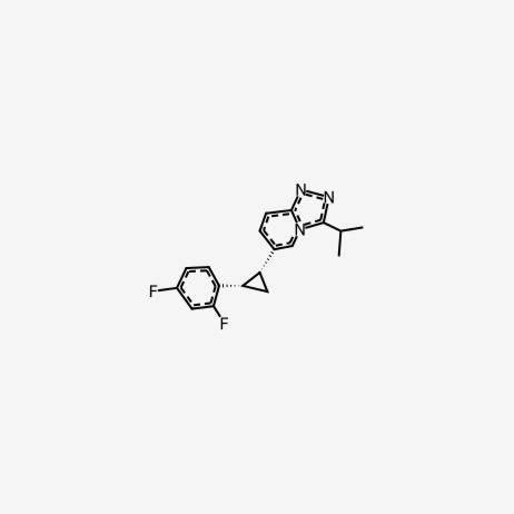 CC(C)c1nnc2ccc([C@@H]3C[C@@H]3c3ccc(F)cc3F)cn12